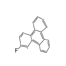 Fc1[c]c2c3ccccc3c3ccccc3c2cc1